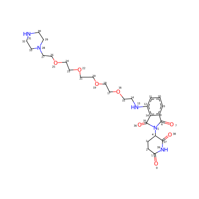 O=C1CCC(N2C(=O)c3cccc(NCCOCCOCCOCCOCCN4CCNCC4)c3C2=O)C(=O)N1